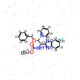 CC(C)(C)OC(=O)N[C@@H](COCc1ccccc1)c1nc2ccc(F)cc2n1-c1ccccn1